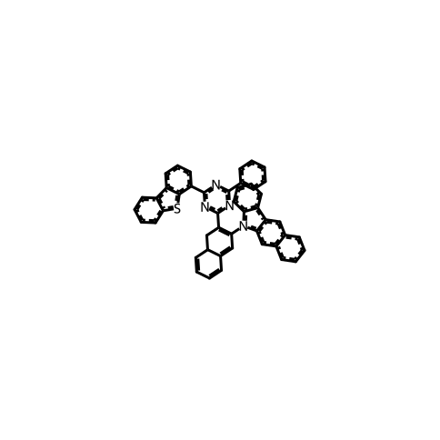 C1=CC2=CC(n3c4ccccc4c4cc5ccccc5cc43)=C(c3nc(-c4ccccc4)nc(-c4cccc5c4sc4ccccc45)n3)CC2C=C1